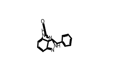 O=C1C=CN(Cc2ccccc2)C23CNN=C2C=CC=C3N1